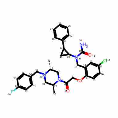 C[C@@H]1CN(C(=O)COc2ccc(Cl)cc2CN(C(N)=O)C2CC2c2ccccc2)[C@@H](C)CN1Cc1ccc(F)cc1